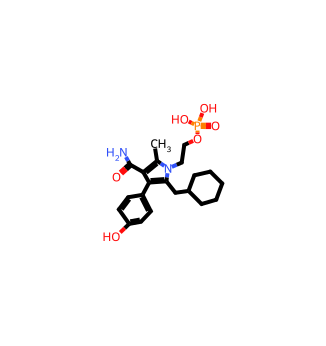 Cc1c(C(N)=O)c(-c2ccc(O)cc2)c(CC2CCCCC2)n1CCOP(=O)(O)O